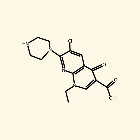 CCn1cc(C(=O)O)c(=O)c2cc(Cl)c(N3CCNCC3)nc21